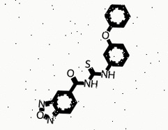 O=C(NC(=S)Nc1cccc(Oc2ccccc2)c1)c1ccc2nonc2c1